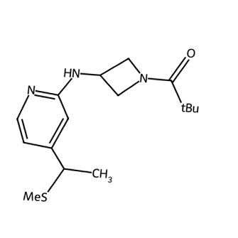 CSC(C)c1ccnc(NC2CN(C(=O)C(C)(C)C)C2)c1